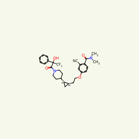 CN(C)C(=O)c1ccc(OCC[C@H]2C[C@H]2C2CCN(C(=O)C(O)(c3ccccc3)C(F)(F)F)CC2)cc1C#N